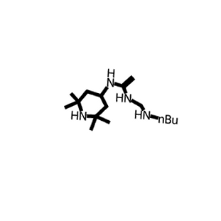 C=C(NCNCCCC)NC1CC(C)(C)NC(C)(C)C1